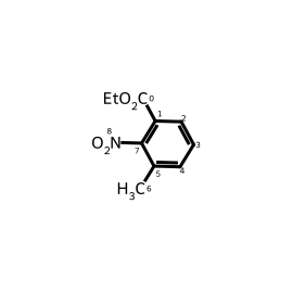 CCOC(=O)c1cccc(C)c1[N+](=O)[O-]